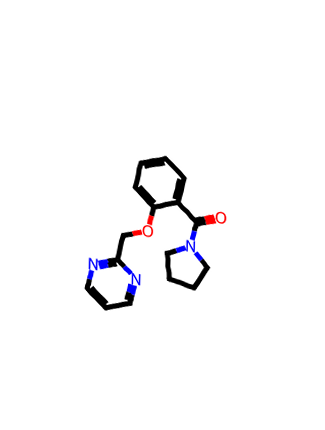 O=C(c1ccccc1OCc1ncccn1)N1CCCC1